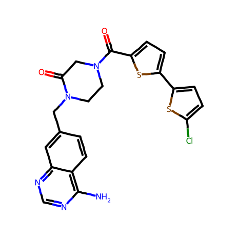 Nc1ncnc2cc(CN3CCN(C(=O)c4ccc(-c5ccc(Cl)s5)s4)CC3=O)ccc12